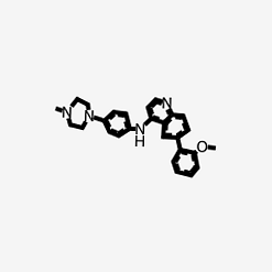 COc1ccccc1-c1ccc2nccc(Nc3ccc(N4CCN(C)CC4)cc3)c2c1